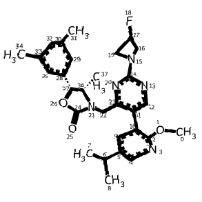 COc1ncc(C(C)C)cc1-c1cnc(N2CC(F)C2)nc1CN1C(=O)O[C@H](c2cc(C)cc(C)c2)[C@@H]1C